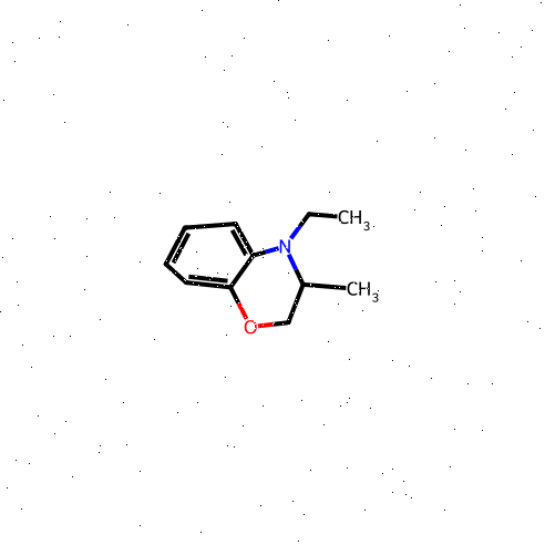 CCN1c2ccccc2OCC1C